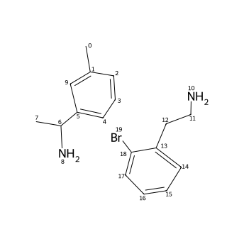 Cc1cccc(C(C)N)c1.NCCc1ccccc1Br